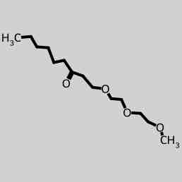 CCCCCCC(=O)CCOCCOCCOC